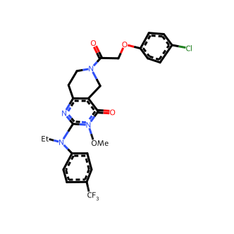 CCN(c1ccc(C(F)(F)F)cc1)c1nc2c(c(=O)n1OC)CN(C(=O)COc1ccc(Cl)cc1)CC2